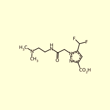 CN(C)CCNC(=O)Cn1nc(C(=O)O)cc1C(F)F